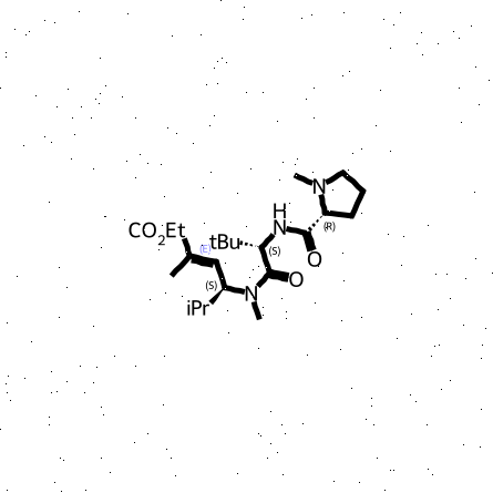 CCOC(=O)/C(C)=C/[C@H](C(C)C)N(C)C(=O)[C@@H](NC(=O)[C@H]1CCCN1C)C(C)(C)C